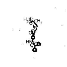 COC(=O)C(C)N1CCN(CC2CN(c3ccc(C(=N)NC(=O)C(c4ccccc4)c4ccccc4)cc3)C(=O)O2)CC1